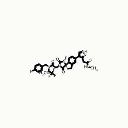 CNC(=O)Cc1n[nH]cc1-c1ccc2c(c1)CC[C@@]21C(=O)N(CC(=O)N(Cc2ccc(F)cc2)[C@@H](C)C(F)(F)F)C(=O)N1F